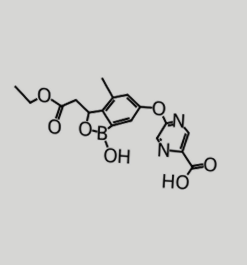 CCOC(=O)CC1OB(O)c2cc(Oc3cnc(C(=O)O)cn3)cc(C)c21